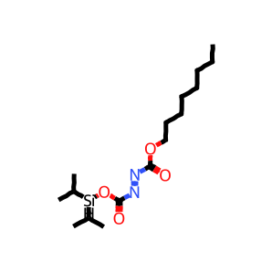 CCCCCCCCOC(=O)N=NC(=O)O[SiH](C(C)C)C(C)C